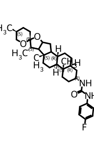 C[C@H]1CC[C@@]2(OC1)OC1CC3[C@@H]4CC[C@@H]5C[C@H](NC(=O)Nc6ccc(F)cc6)CC[C@]5(C)[C@H]4CC[C@]3(C)C1[C@@H]2C